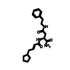 NC(=O)C(CC(=O)NCCc1ccccc1)NC(=O)C=CCC1CCCC1